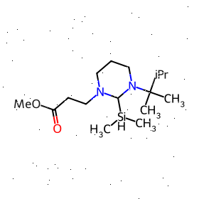 COC(=O)CCN1CCCN(C(C)(C)C(C)C)C1[SiH](C)C